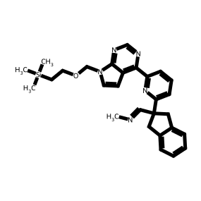 C/N=C/C1(c2cccc(-c3ncnc4c3ccn4COCC[Si](C)(C)C)n2)Cc2ccccc2C1